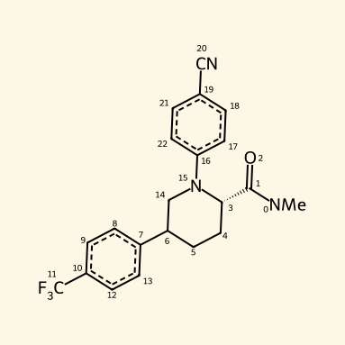 CNC(=O)[C@@H]1CCC(c2ccc(C(F)(F)F)cc2)CN1c1ccc(C#N)cc1